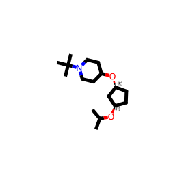 CC(C)O[C@@H]1CC[C@@H](OC2CCN(C(C)(C)C)CC2)C1